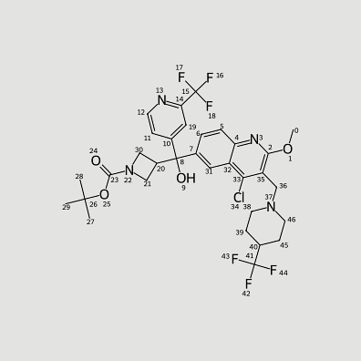 COc1nc2ccc(C(O)(c3ccnc(C(F)(F)F)c3)C3CN(C(=O)OC(C)(C)C)C3)cc2c(Cl)c1CN1CCC(C(F)(F)F)CC1